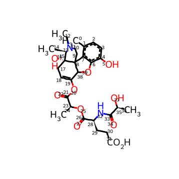 Cc1ccc(O)c2c1C13CCN(C)[C@H](C)[C@]1(O)CC=C(OC(=O)[C@H](C)OC(=O)[C@H](CCC(=O)O)NC(=O)[C@H](C)O)C3O2